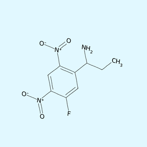 CCC(N)c1cc(F)c([N+](=O)[O-])cc1[N+](=O)[O-]